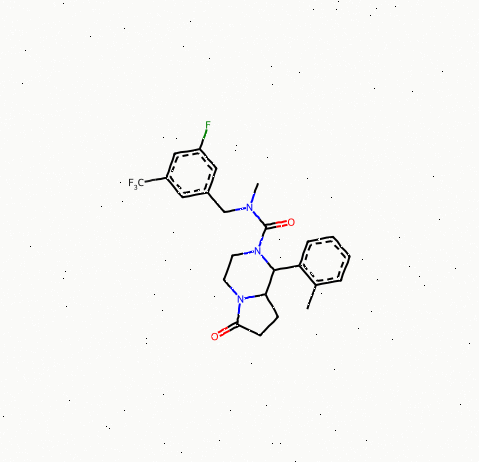 Cc1ccccc1C1C2CCC(=O)N2CCN1C(=O)N(C)Cc1cc(F)cc(C(F)(F)F)c1